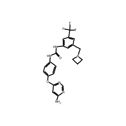 Nc1cc(Oc2ccc(NC(=O)Nc3cc(CN4CCC4)cc(C(F)(F)F)c3)cc2)ncn1